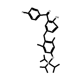 Cc1cc(O[Si](C(C)C)(C(C)C)C(C)C)cc(C)c1Cc1ccc(O)c(C(=O)c2ccc(F)cc2)c1